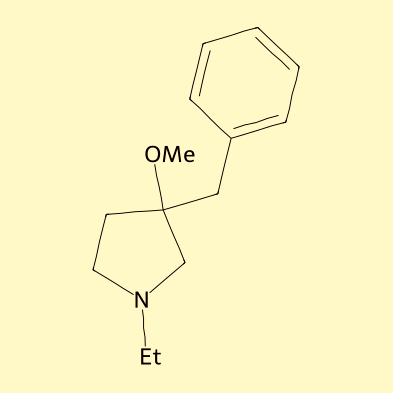 CCN1CCC(Cc2ccccc2)(OC)C1